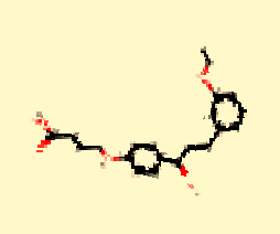 CCOc1cccc(/C=C/C(=O)c2ccc(OCCCC(=O)O)cc2)c1